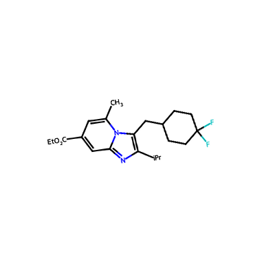 CCOC(=O)c1cc(C)n2c(CC3CCC(F)(F)CC3)c(C(C)C)nc2c1